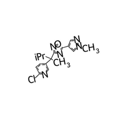 CC(C)C(C)(c1ccc(Cl)nc1)c1noc(-c2cnn(C)c2)n1